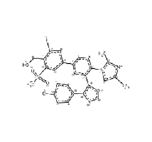 Cc1nc(C(F)(F)F)cn1-c1ccc(-c2cc(F)c(CO)c(S(C)(=O)=O)c2)cc1-c1ocnc1-c1ccc(Cl)cc1